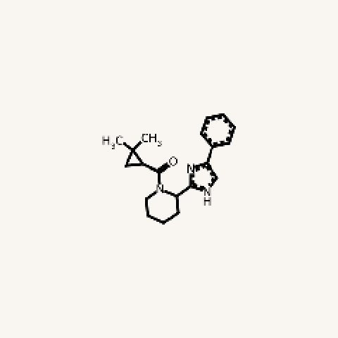 CC1(C)CC1C(=O)N1CCCCC1c1nc(-c2ccccc2)c[nH]1